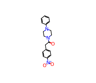 O=C(Cc1ccc([N+](=O)[O-])cc1)N1CCN(c2ccccc2)CC1